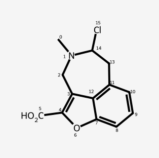 CN1Cc2c(C(=O)O)oc3cccc(c23)CC1Cl